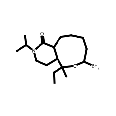 BC1CCCCC2C(=O)N(C(C)C)CCC2C(C)(CC)C1